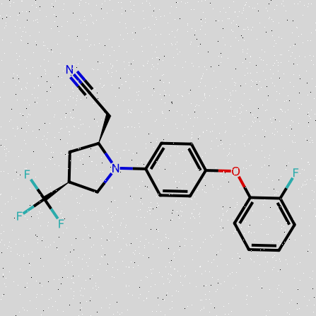 N#CC[C@@H]1C[C@H](C(F)(F)F)CN1c1ccc(Oc2ccccc2F)cc1